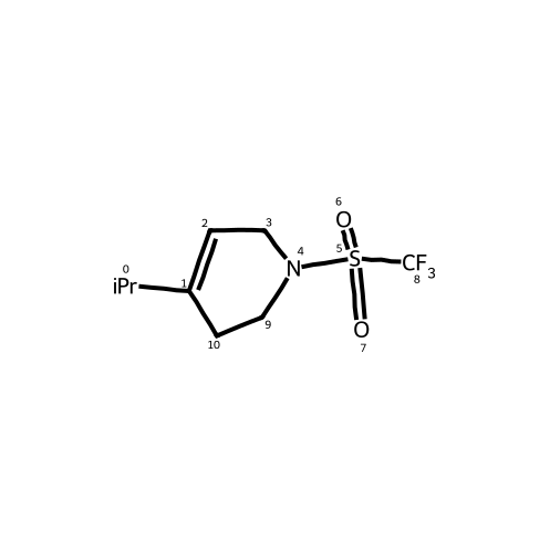 CC(C)C1=CCN(S(=O)(=O)C(F)(F)F)CC1